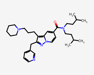 CC(C)CCN(CCC(C)C)C(=O)c1ccn2nc(Cc3cccnc3)c(CCCN3CCCCC3)c2c1